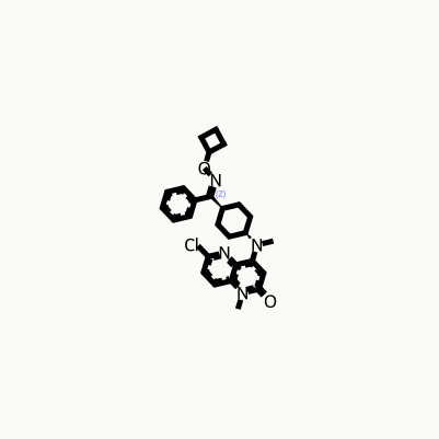 Cn1c(=O)cc(N(C)[C@H]2CC[C@H](/C(=N/OC3CCC3)c3ccccc3)CC2)c2nc(Cl)ccc21